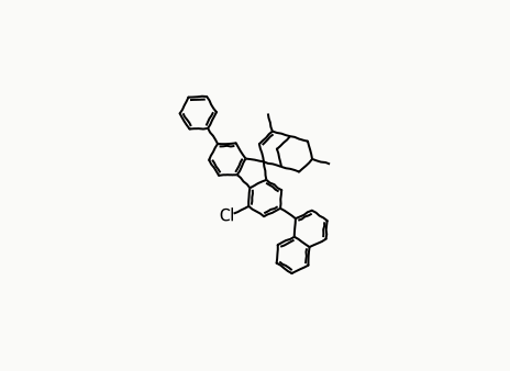 CC1=CC2(c3cc(-c4ccccc4)ccc3-c3c(Cl)cc(-c4cccc5ccccc45)cc32)C2CC(C)CC1C2